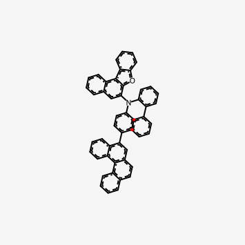 c1ccc(-c2ccccc2N(c2ccc(-c3cc4ccc5ccccc5c4c4ccccc34)cc2)c2cc3ccccc3c3c2oc2ccccc23)cc1